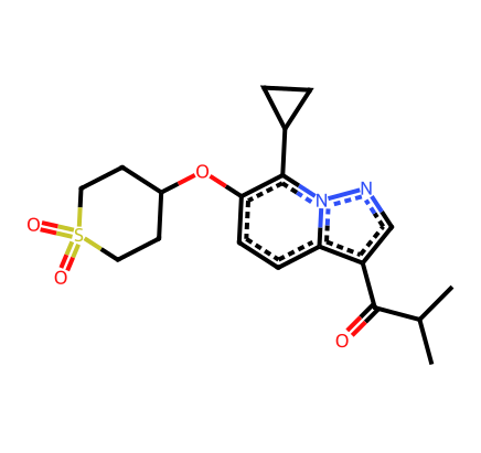 CC(C)C(=O)c1cnn2c(C3CC3)c(OC3CCS(=O)(=O)CC3)ccc12